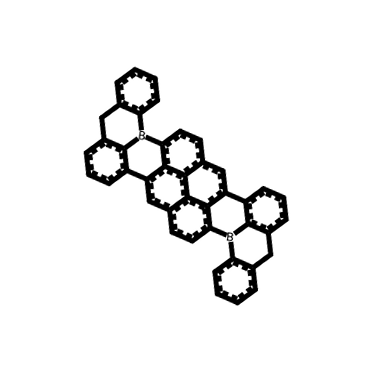 c1ccc2c(c1)Cc1cccc3c1B2c1ccc2cc4c5c(ccc6cc-3c1c2c65)B1c2ccccc2Cc2cccc-4c21